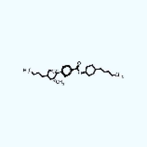 CCCCCC1CCC(OC(=O)c2ccc([C@@H]3CCC(CCCC)C[C@H]3C)cc2)CC1